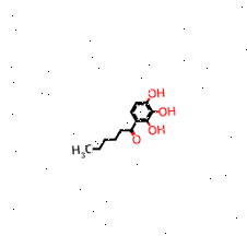 CCCCCC(=O)c1ccc(O)c(O)c1O